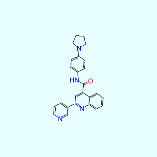 O=C(Nc1ccc(N2CCCC2)cc1)c1cc(-c2cccnc2)nc2ccccc12